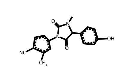 CN1C(=O)N(c2ccc(C#N)c(C(F)(F)F)c2)C(=O)C1c1ccc(O)cc1